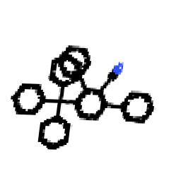 N#Cc1c(-c2ccccc2)ccc(C(c2ccccc2)(c2ccccc2)c2ccccc2)c1-c1ccccc1